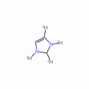 [2H]C1=CN([2H])C([2H])N1[2H]